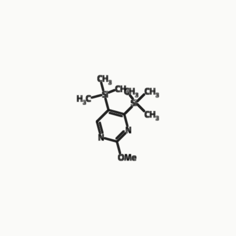 COc1ncc([Si](C)(C)C)c([Si](C)(C)C)n1